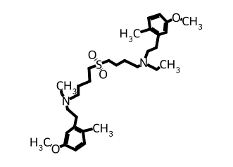 CCN(CCCCS(=O)(=O)CCCCN(CC)CCc1cc(OC)ccc1C)CCc1cc(OC)ccc1C